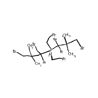 CC(C)C[PH](CC(C)C)(C(Br)(Br)C(C)(C)CBr)C(Br)(Br)C(C)(C)CBr